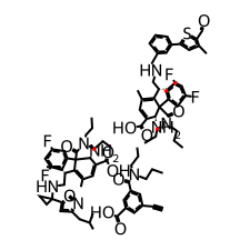 C#Cc1cc(C(=O)O)cc(C(=O)N(CCC)CCC)c1.CCCN(CCC)C(=O)C1(c2cc(F)cc(F)c2)C([C@@H](CC)CNC2(c3cc(CC(C)C)no3)CC2)=C(C)C=C(C(=O)O)[C@H]1N.CCCN(CCC)C(=O)C1(c2cc(F)cc(F)c2)C([C@@H](CC)CNCc2cccc(-c3cc(C)c(C=O)s3)c2)=C(C)C=C(C(=O)O)[C@H]1N